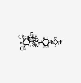 FC1CN(c2ccc(C3=NOC(c4cc(Cl)cc(Cl)c4)(C(F)(F)F)O3)cc2)C1